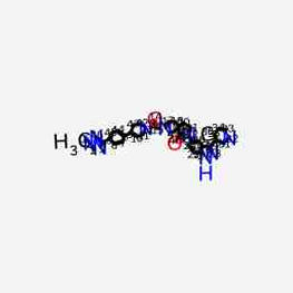 Cn1cnc(-c2ccc(C3=CCN(C(=O)CN4CC[C@]5(CCN(c6ccc7[nH]nc(-c8cnccc8C(F)(F)F)c7c6)C5=O)C4)CC3)cc2)n1